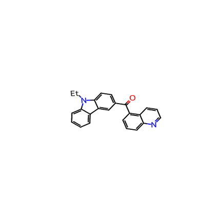 CCn1c2ccccc2c2cc(C(=O)c3cccc4ncccc34)ccc21